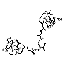 C=C(CCC1O[C@@H]2OC3C(CO)O[C@H](OCCCCC1[C@@H](O)C2O)C(O)[C@@H]3O)NCN(CNC(=C)CCC1O[C@@H]2OC3C(CO)O[C@H](OCCCCC1[C@@H](O)C2O)C(O)[C@@H]3O)C(=C)C